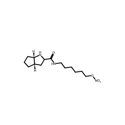 O=C(NCCCCCCO[N+](=O)[O-])C1C[C@@H]2CCC[C@@H]2N1